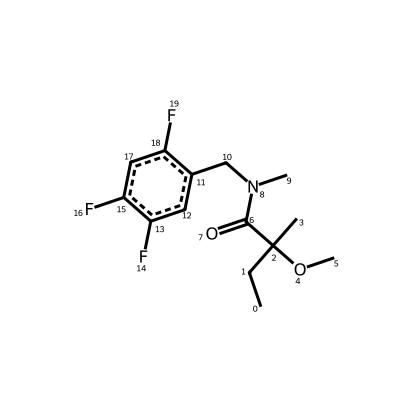 CCC(C)(OC)C(=O)N(C)Cc1cc(F)c(F)cc1F